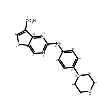 O=C(O)c1csc2cnc(Nc3ccc(N4CCOCC4)cc3)nc12